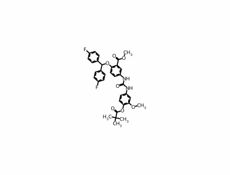 COC(=O)c1cc(NC(=O)Nc2ccc(OC(=O)C(C)(C)C)c(OC)c2)ccc1OC(c1ccc(F)cc1)c1ccc(F)cc1